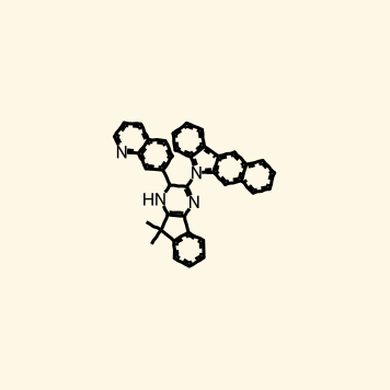 CC1(C)C2=C(N=C(n3c4ccccc4c4cc5ccccc5cc43)C(c3ccc4cccnc4c3)N2)c2ccccc21